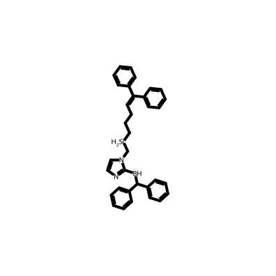 B(c1nccn1C[SiH2]CCCC=C(c1ccccc1)c1ccccc1)C(c1ccccc1)c1ccccc1